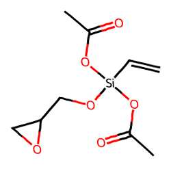 C=C[Si](OCC1CO1)(OC(C)=O)OC(C)=O